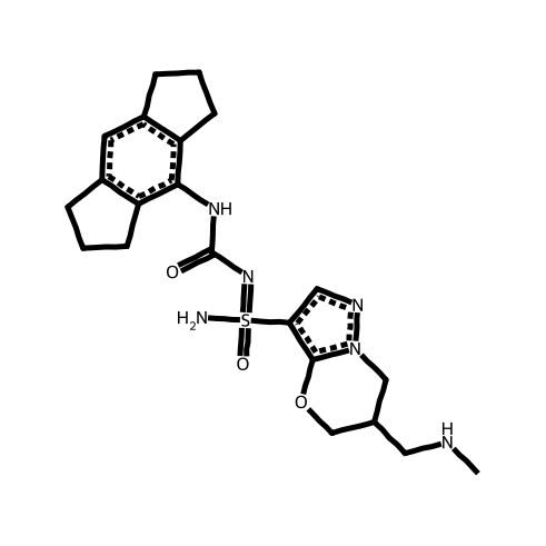 CNCC1COc2c(S(N)(=O)=NC(=O)Nc3c4c(cc5c3CCC5)CCC4)cnn2C1